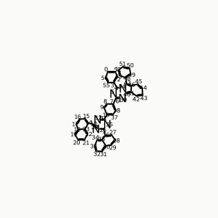 c1ccc(-c2nc(-c3ccc(-c4nc(-c5cccc6ccccc56)nc(-c5cccc6ccccc56)n4)cc3)nc3c4ccccc4c(-c4ccccc4)n23)cc1